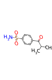 CC(C)C(=O)c1ccc(S(N)(=O)=O)cc1